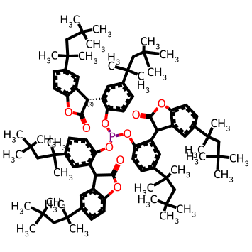 CC(C)(C)CC(C)(C)c1ccc2c(c1)C(c1cc(C(C)(C)CC(C)(C)C)ccc1OP(Oc1ccc(C(C)(C)CC(C)(C)C)cc1C1C(=O)Oc3ccc(C(C)(C)CC(C)(C)C)cc31)Oc1ccc(C(C)(C)CC(C)(C)C)cc1[C@@H]1C(=O)Oc3ccc(C(C)(C)CC(C)(C)C)cc31)C(=O)O2